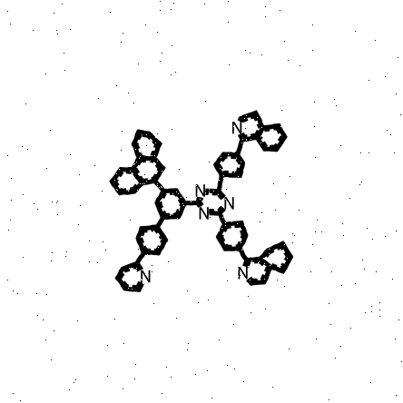 c1ccc(-c2ccc(-c3cc(-c4nc(-c5ccc(-c6nccc7ccccc67)cc5)nc(-c5ccc(-c6nccc7ccccc67)cc5)n4)cc(-c4cc5ccccc5c5ccccc45)c3)cc2)nc1